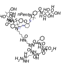 CCCCC[N+]1=C(/C=C/C2=C(Oc3ccc(S(=O)(=O)O)cc3)C(=C/C=C3/N(CCCCCC(=O)NCCCCC4NC(=O)[C@@H](Cc5ccccc5)NC(=O)[C@H](CC(=O)O)NC(=O)CNC(=O)[C@H](CCCNC(=N)N)NC4=O)c4ccc(C(=O)NCC(O)C(O)C(C)C(O)CO)cc4C3(C)C)/CCC2)C(C)(C)c2cc(C(=O)NCC(O)C(O)C(O)C(O)CO)ccc21